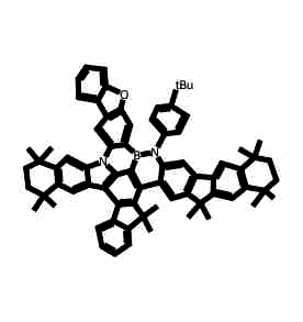 CC(C)(C)c1ccc(N2B3c4cc5oc6ccccc6c5cc4-n4c5cc6c(cc5c5c7c(c(c3c54)-c3cc4c(cc32)-c2cc3c(cc2C4(C)C)C(C)(C)CCC3(C)C)C(C)(C)c2ccccc2-7)C(C)(C)CCC6(C)C)cc1